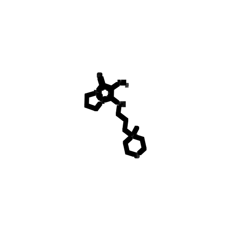 C[N+]1(CCCNc2c(N)c(=O)n3n2CCC3)CCOCC1